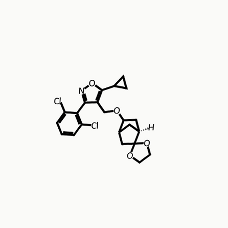 Clc1cccc(Cl)c1-c1noc(C2CC2)c1COC1C[C@@H]2CC1CC21OCCO1